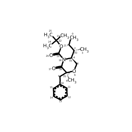 CC[C@H](C)[C@H]1CO[C@@](C)(Cc2ccccc2)C(=O)N1C(=O)OC(C)(C)C